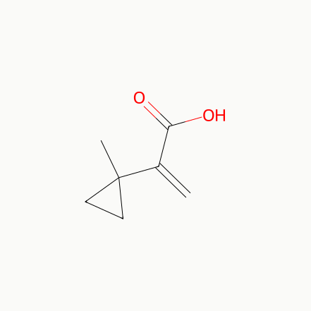 C=C(C(=O)O)C1(C)CC1